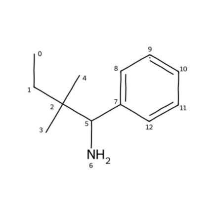 CCC(C)(C)C(N)c1c[c]ccc1